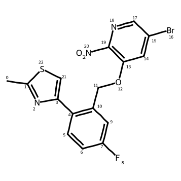 Cc1nc(-c2ccc(F)cc2COc2cc(Br)cnc2[N+](=O)[O-])cs1